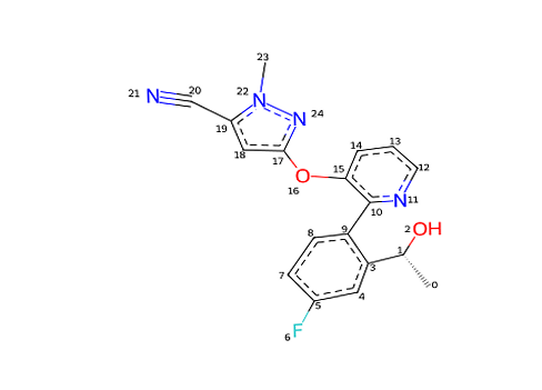 C[C@@H](O)c1cc(F)ccc1-c1ncccc1Oc1cc(C#N)n(C)n1